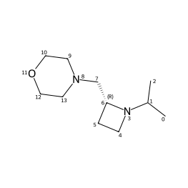 CC(C)N1CC[C@@H]1CN1CCOCC1